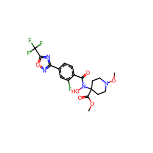 COC(=O)C1(N(O)C(=O)c2ccc(-c3noc(C(F)(F)F)n3)cc2F)CCN(OC)CC1